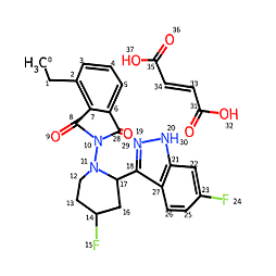 CCc1cccc2c1C(=O)N(N1CCC(F)CC1c1n[nH]c3cc(F)ccc13)C2=O.O=C(O)C=CC(=O)O